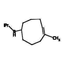 C/C1=C/CCCC(BC(C)C)CCC1